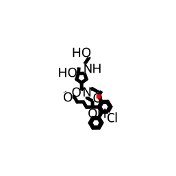 CCc1ccc(Cl)c(-c2ccccc2)c1C(O)(CCCCOC)C1CN(C(=O)C2CC(NCCO)C(C)(O)C2)CCO1